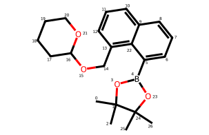 CC1(C)OB(c2cccc3cccc(COC4CCCCO4)c23)OC1(C)C